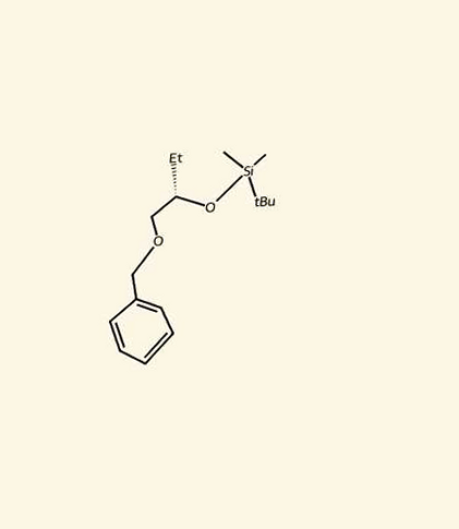 CC[C@@H](COCc1ccccc1)O[Si](C)(C)C(C)(C)C